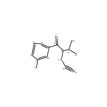 Cc1cccc(C(=O)C(SC#N)C(C)C)c1